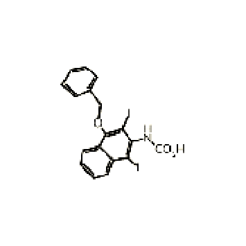 O=C(O)Nc1c(I)c(OCc2ccccc2)c2ccccc2c1I